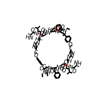 CCN(CC)C(=O)[C@@H]1Cc2ccc(cc2)OCc2cn(nn2)[C@H]2C[C@@H](C(=O)N[C@@H](Cc3ccccc3)C(=O)N[C@H](C(=O)N(CC)CC)Cc3ccc(cc3)OCc3cn(nn3)[C@H]3C[C@@H](C(=O)N[C@@H](Cc4ccccc4)C(=O)N1)N(C(=O)[C@@H](NC(=O)[C@H](C)NC)C(C)C)C3)N(C(=O)[C@@H](NC(=O)[C@H](C)NC)C(C)C)C2